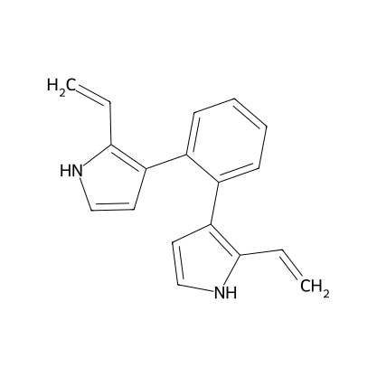 C=Cc1[nH]ccc1-c1ccccc1-c1cc[nH]c1C=C